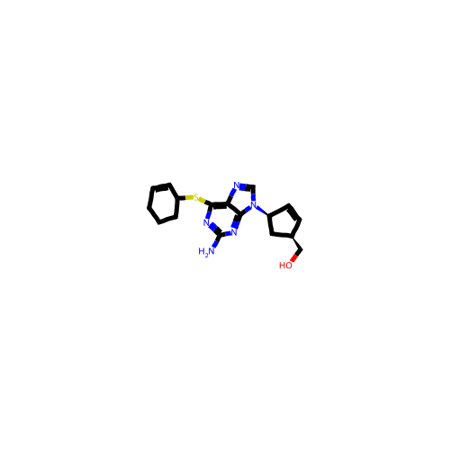 Nc1nc(SC2C=CCCC2)c2ncn([C@H]3C=C[C@@H](CO)C3)c2n1